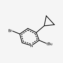 CC(C)(C)c1ncc(Br)cc1C1CC1